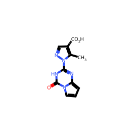 Cc1c(C(=O)O)cnn1-c1nc2cccn2c(=O)[nH]1